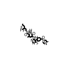 CCCC(CCNC(=O)c1[nH]c(=O)c(Nc2ncnc3sc4c(c23)CC[C@H](C(=O)N2CCN(C)[C@H](C)C2)C4)cc1C)C(F)(F)F